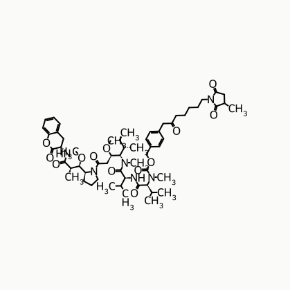 CC[C@H](C)[C@@H]([C@@H](CC(=O)N1CCC[C@H]1[C@H](OC)[C@@H](C)C(=O)N[C@H]1Cc2ccccc2OC1=O)OC)N(C)C(=O)[C@@H](NC(=O)[C@H](C(C)C)N(C)C(=O)OCc1ccc(CC(=O)CCCCCN2C(=O)CC(C)C2=O)cc1)C(C)C